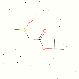 C[S+]([O-])CC(=O)OC(C)(C)C